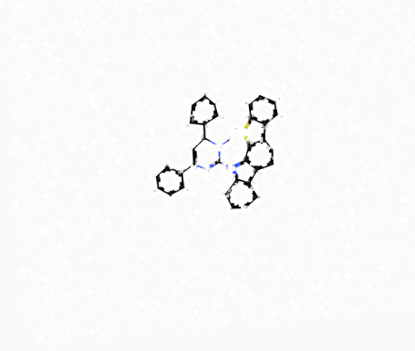 CN1C(n2c3ccccc3c3ccc4c5ccccc5sc4c32)=NC(c2ccccc2)=CC1c1ccccc1